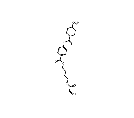 C=CC(=O)OCCCCOC(=O)c1ccc(OC(=O)C2CCC(C(=O)O)CC2)cc1